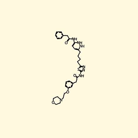 O=C(Cc1ccccc1)NC1=CC=C(CCCCc2nnc(NC(=O)Cc3cccc(OCCN4CCOCC4)c3)s2)NN1